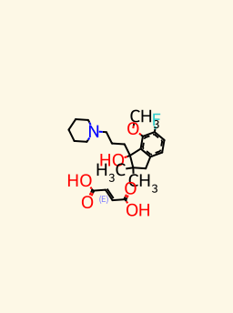 COc1c(F)ccc2c1C(O)(CCCN1CCCCC1)C(C)(C)C2.O=C(O)/C=C/C(=O)O